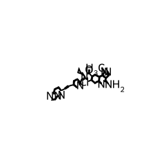 Cn1ncc2c(N)nc3cc(Cl)c(C(=O)N(Cc4ccc(C#Cc5ccc6nccn6n5)cn4)C4CC4)cc3c21